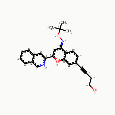 CC(C)(C)ON=c1cc(-c2cc3ccccc3cn2)oc2cc(C#CCCO)ccc12